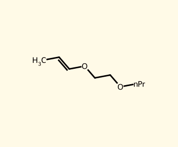 CC=COCCOCCC